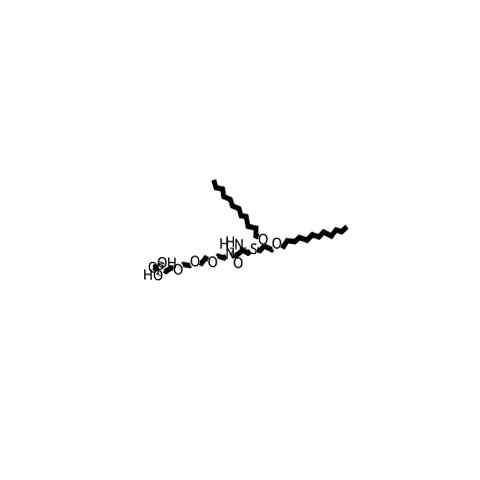 CCCCCCCCCCCCOCC(CSC[C@H](N)C(=O)NCCOCCOCCOCCP(=O)(O)O)OCCCCCCCCCCCC